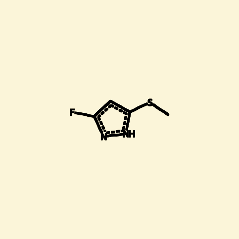 CSc1cc(F)n[nH]1